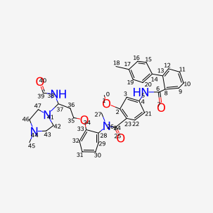 COc1cc(NC(=O)c2ccccc2-c2ccc(C)cc2)ccc1C(=O)N(C)c1ccccc1OCCC(NC=O)N1CCN(C)CC1